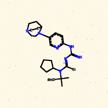 CC/C(=N\C(=N)Nc1ccc(N2CCN3CCC2CC3)cn1)N(C1CCCC1)C(C)(C)OC